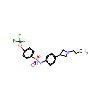 CCCN1CC(c2ccc(NS(=O)(=O)c3ccc(OC(F)(F)F)cc3)cc2)C1